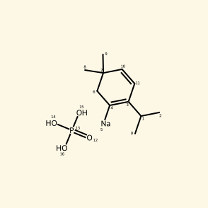 CC(C)C1=[C]([Na])CC(C)(C)C=C1.O=P(O)(O)O